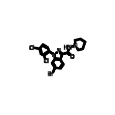 O=C(NN1CCCCC1)c1nn(-c2ccc(Cl)cc2Cl)c2cc(Br)ccc12